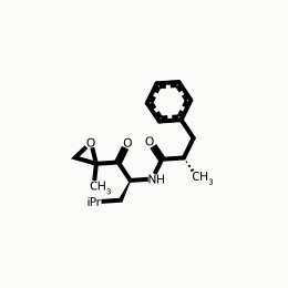 CC(C)C[C@H](NC(=O)[C@@H](C)Cc1ccccc1)C(=O)C1(C)CO1